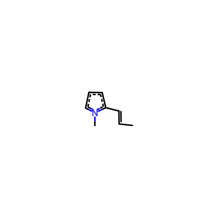 CC=Cc1cccn1C